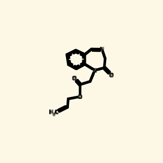 C=CCOC(=O)CN1C(=O)CN=Cc2ccccc21